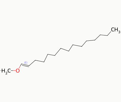 [CH2]O/C=C/CCCCCCCCCCCCC